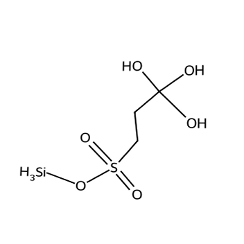 O=S(=O)(CCC(O)(O)O)O[SiH3]